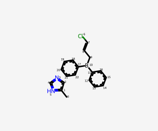 Cc1cnc[nH]1.ClC=CCB(c1ccccc1)c1ccccc1